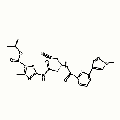 Cc1nc(NC(=O)C[C@H](CC#N)NC(=O)c2cccc(-c3cnn(C)c3)n2)sc1C(=O)OC(C)C